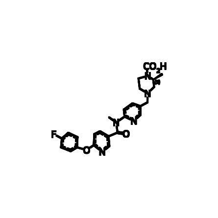 C[C@H]1CN(Cc2ccc(N(C)C(=O)c3ccc(Oc4ccc(F)cc4)nc3)nc2)CCN1C(=O)O